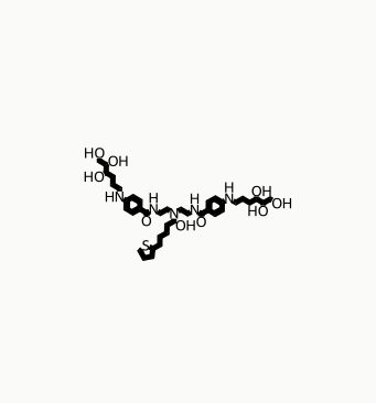 O=C(NCCN(CCNC(=O)c1ccc(NCCCC(O)C(O)CO)cc1)[C@H](O)CCCCC1CCCS1)c1ccc(NCCCC(O)C(O)CO)cc1